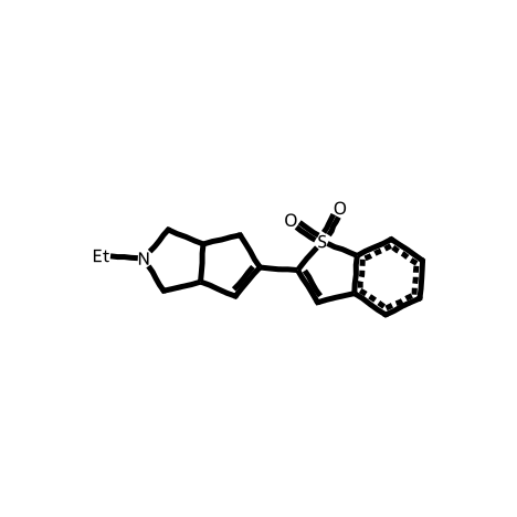 CCN1CC2C=C(C3=Cc4ccccc4S3(=O)=O)CC2C1